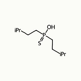 CC(C)CCP(O)(=S)CCC(C)C